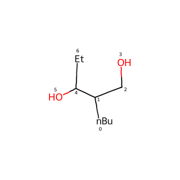 CCCCC(CO)C(O)CC